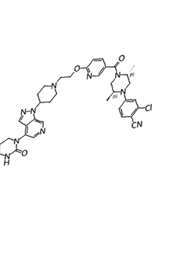 C[C@@H]1CN(c2ccc(C#N)c(Cl)c2)[C@@H](C)CN1C(=O)c1ccc(OCCN2CCC(n3ncc4c(N5CCC(=O)NC5=O)cncc43)CC2)nc1